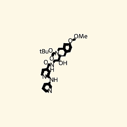 COCOc1ccc2c(c1)CN(C(=O)OC(C)(C)C)[C@H]([C@H](O)CNC(=O)c1ccnc(Nc3cccnc3)c1)C2